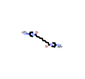 CCCNc1cc[n+](C(Br)CCCCCCCCC(Br)[n+]2ccc(NCCC)cc2)cc1